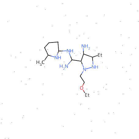 CCOCCN1NC(CC)C(N)C1C(N)NC1CCCC(C)N1